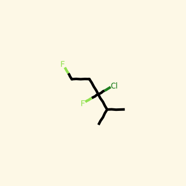 CC(C)C(F)(Cl)CCF